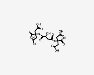 O=C(O)CC(CC(=O)O)(OC(=O)CC(O)C(=O)OC(CC(=O)O)(CC(=O)O)C(=O)O)C(=O)O